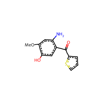 COc1cc(N)c(C(=O)c2cccs2)cc1O